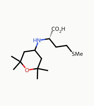 CSCC[C@H](NC1CC(C)(C)OC(C)(C)C1)C(=O)O